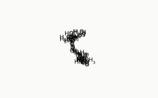 Cc1ncsc1-c1ccc(CNC(=O)[C@@H]2C[C@@H](O)CN2C(=O)[C@@H](NC(=O)COCCOCC(=O)N2CCC(c3nnc(-c4cnc(Nc5ccc6c(c5)C(C)(C)OC6=O)nc4N[C@H](CO)c4ccccc4)o3)CC2)C(C)(C)C)cc1